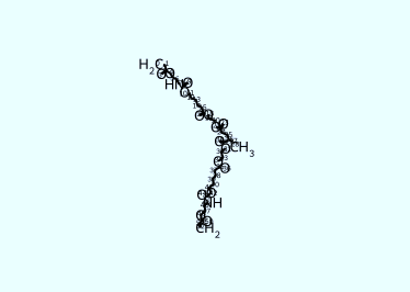 C=CC(=O)OCCNC(=O)OCCCCCC(=O)OCCOC(=O)CCC(CC)C(=O)OCCOC(=O)CCCCCOC(=O)NCCOC(=O)C=C